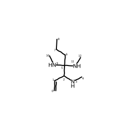 C=CC(NC)C(CCC)(NC)NC